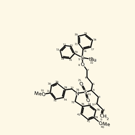 C=CCCC(CCCO[Si](c1ccccc1)(c1ccccc1)C(C)(C)C)S(=O)(=O)N(Cc1ccc(OC)cc1)Cc1ccc(OC)cc1